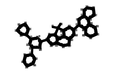 CC1(C)c2cc(-c3nc(-c4ccccc4)nc(-c4ccccc4)n3)cc3ccc4cc(-c5cc6ccccc6c6ccccc56)cc1c4c23